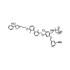 Cc1c(COc2cc(OCc3cncc(C#N)c3)c(CNC(C)(CO)C(=O)O)cc2Cl)cccc1-c1cccc(OCCCN2CCC(O)(c3ccccc3)C2)c1C